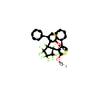 COc1scc(-c2ccccc2)c1C1(F)C(F)(F)C(F)(F)C(F)(F)C1(F)c1c(-c2ccccc2)csc1OC